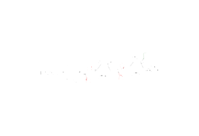 CCCCCCCCC1CCC(C(=O)Oc2ccc(C(=O)Oc3ccc(C#N)c(F)c3F)cc2)CC1